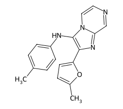 Cc1ccc(Nc2c(-c3ccc(C)o3)nc3cnccn23)cc1